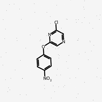 O=[N+]([O-])c1ccc(Oc2cncc(Cl)n2)cc1